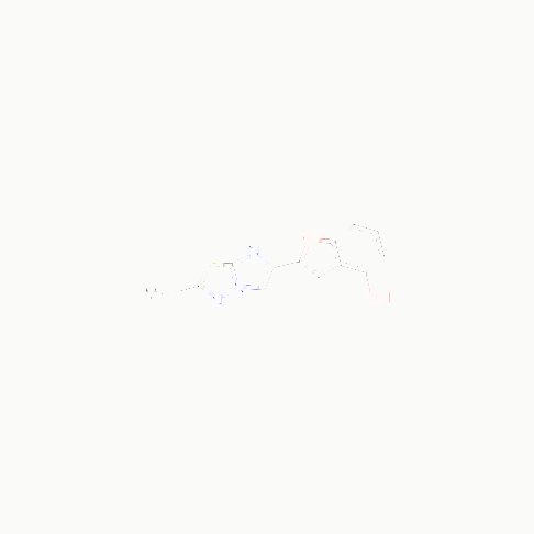 CSc1nn2cc(-c3cc4c(O)cccc4o3)nc2s1